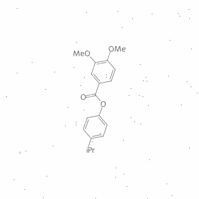 COc1ccc(C(=O)Oc2ccc(C(C)C)cc2)cc1OC